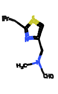 CC(C)c1nc(CN(C)C=O)cs1